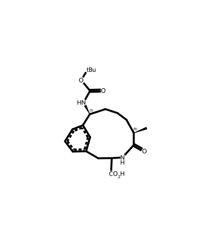 C[C@@H]1CCC[C@H](NC(=O)OC(C)(C)C)c2cccc(c2)CC(C(=O)O)NC1=O